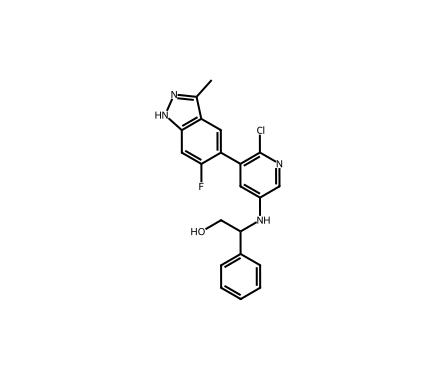 Cc1n[nH]c2cc(F)c(-c3cc(NC(CO)c4ccccc4)cnc3Cl)cc12